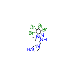 CC(C)n1c(NCCN2CCCNCC2)nc2c(Br)c(Br)c(Br)c(Br)c21